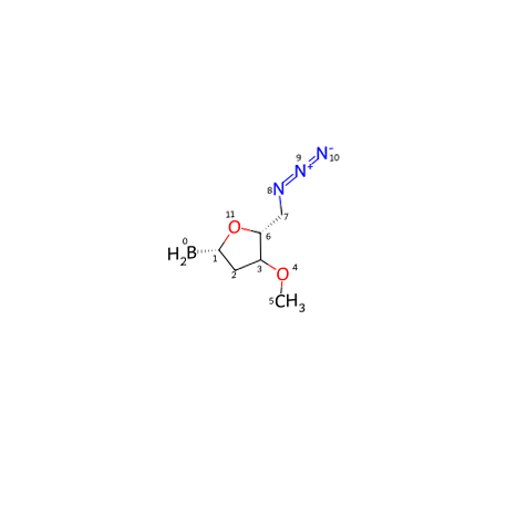 B[C@H]1CC(OC)[C@@H](CN=[N+]=[N-])O1